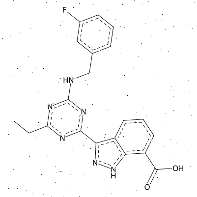 CCc1nc(NCc2cccc(F)c2)nc(-c2n[nH]c3c(C(=O)O)cccc23)n1